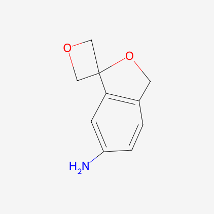 Nc1ccc2c(c1)C1(COC1)OC2